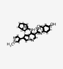 Cn1cc(-c2cc3c(NC4CC5CCC(C4)N5)c(/C(N)=N/c4ccc(O)cc4Cl)cnn3c2)cn1